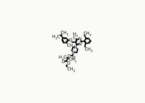 CCOC(=O)C(C)(C)OC(=O)N1CCN(c2nc(-c3c(CC)cccc3CC)nc(C)c2COc2cc(C(C)C)ccc2C)CC1